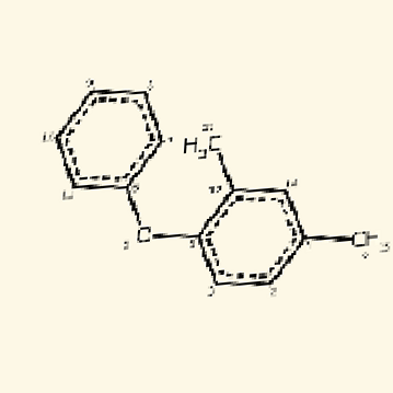 Cc1ccc(Oc2[c]cccc2)c(C)c1